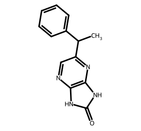 CC(c1ccccc1)c1cnc2[nH]c(=O)[nH]c2n1